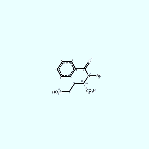 CC(=O)N(C(=O)c1ccccc1)[C@@H](CCS(=O)(=O)O)C(=O)O